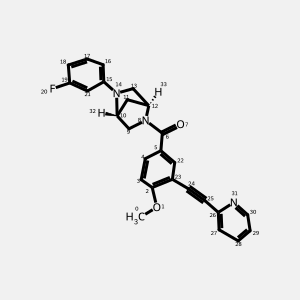 COc1ccc(C(=O)N2C[C@H]3C[C@H]2CN3c2cccc(F)c2)cc1C#Cc1ccccn1